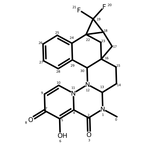 CN1C(=O)c2c(O)c(=O)ccn2N2C1CCC13CC4C(F)(F)C4(C1)c1ccccc1C23